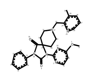 COc1ccnc(N2C(=O)N(c3ccccc3)C(=O)C23CCN(Cc2ncccc2C)CC3)n1